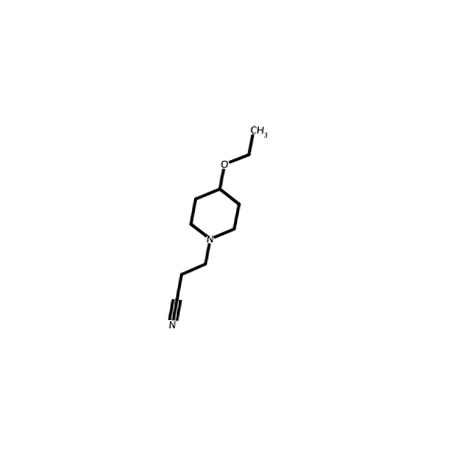 CCOC1CCN(CCC#N)CC1